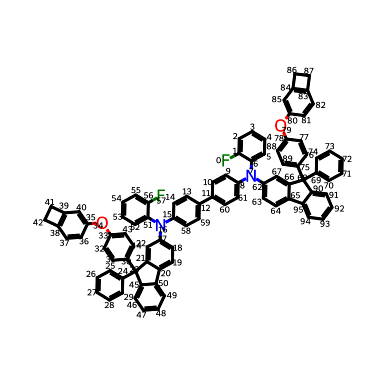 Fc1ccccc1N(c1ccc(-c2ccc(N(c3ccc4c(c3)C(c3ccccc3)(c3ccc(Oc5ccc6c(c5)CC6)cc3)c3ccccc3-4)c3ccccc3F)cc2)cc1)c1ccc2c(c1)C(c1ccccc1)(c1ccc(Oc3ccc4c(c3)CC4)cc1)c1ccccc1-2